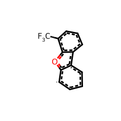 FC(F)(F)c1cccc2c1oc1[c]cccc12